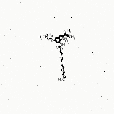 COCCOCCOCCOCCOC(=O)Nc1cc(OCCN(C)C)cc2cc(C(=O)C(C)(C)C)[nH]c12